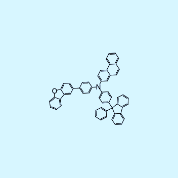 c1ccc(C2(c3ccc(N(c4ccc(-c5ccc6oc7ccccc7c6c5)cc4)c4ccc5c(ccc6ccccc65)c4)cc3)c3ccccc3-c3ccccc32)cc1